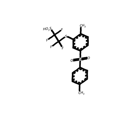 Cc1ccc(S(=O)(=O)c2ccc(C)c(SC(F)(F)C(F)(F)S(=O)(=O)O)c2)cc1